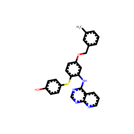 Cc1cccc(COc2ccc(Sc3ccc(O)cc3)c(Nc3ncnc4ncccc34)c2)c1